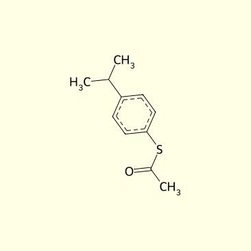 CC(=O)Sc1ccc(C(C)C)cc1